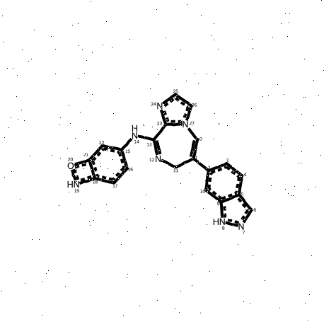 C1=C(c2ccc3cn[nH]c3c2)CN=C(Nc2ccc3[nH]oc3c2)c2nccn21